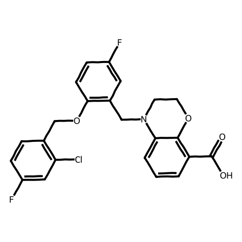 O=C(O)c1cccc2c1OCCN2Cc1cc(F)ccc1OCc1ccc(F)cc1Cl